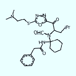 CC(C)CC(C(=O)c1nnc(SCCN(C)C)o1)N(C=O)C1(NC(=O)Cc2ccccc2)CCCCC1